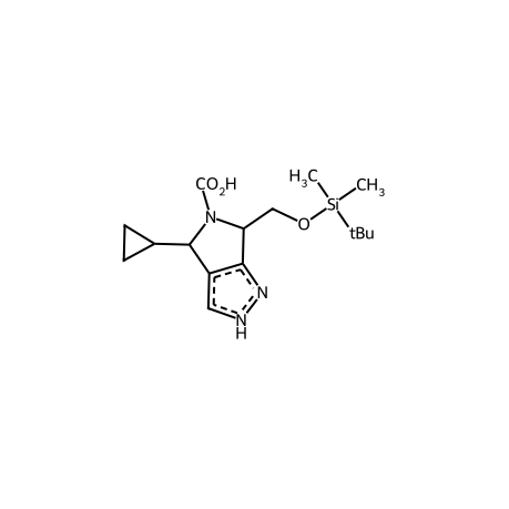 CC(C)(C)[Si](C)(C)OCC1c2n[nH]cc2C(C2CC2)N1C(=O)O